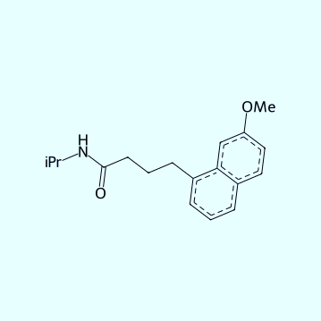 COc1ccc2cccc(CCCC(=O)NC(C)C)c2c1